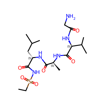 CCS(=O)(=O)NC(=O)[C@H](CC(C)C)NC(=O)[C@H](C)NC(=O)[C@@H](NC(=O)CN)C(C)C